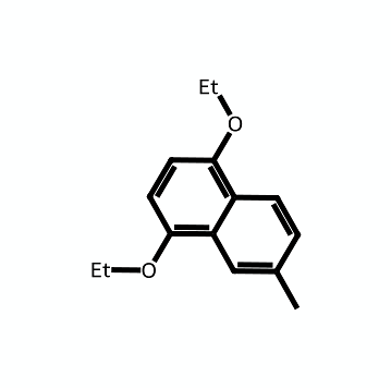 CCOc1ccc(OCC)c2cc(C)ccc12